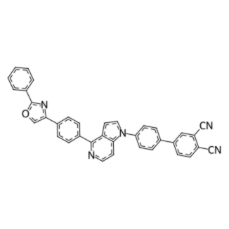 N#Cc1ccc(-c2ccc(-n3ccc4c(-c5ccc(-c6coc(-c7ccccc7)n6)cc5)nccc43)cc2)cc1C#N